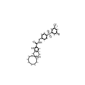 O=C(NCc1ccc(S(=O)(=O)c2cc(F)cc(C(F)(F)F)c2)cc1)c1cc2c([nH]1)CC1(CCCCCCCC1)NC2